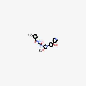 CCO[C@@H]1CN(C2CCC(O)(c3ccncc3)CC2)C[C@@H]1NC(=O)CNC(=O)c1cccc(C(F)(F)F)c1